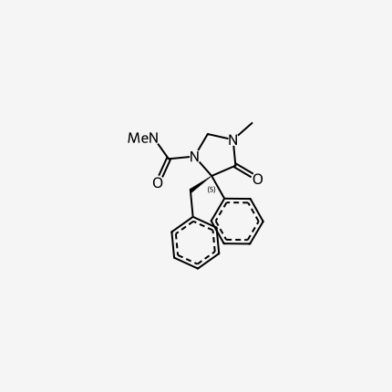 CNC(=O)N1CN(C)C(=O)[C@]1(Cc1ccccc1)c1ccccc1